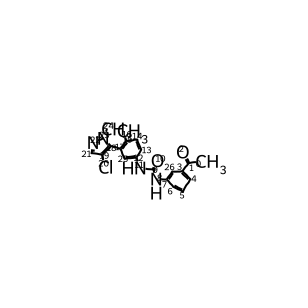 CC(=O)c1cccc(NC(=O)Nc2ccc(C)c(-c3c(Cl)cnn3C)c2)c1